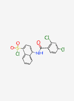 O=C(Nc1ccc(S(=O)(=O)Cl)c2ccccc12)c1ccc(Cl)cc1Cl